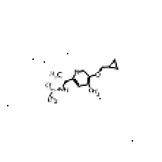 Cc1cc([C@@H](C)N[S+]([O-])C(C)(C)C)ncc1OCC1CC1